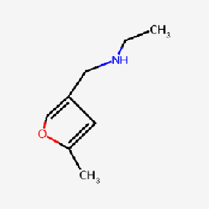 CCNCc1coc(C)c1